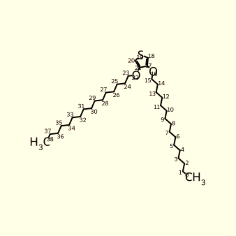 CCCCCCCCCCCCCCCCOc1cscc1OCCCCCCCCCCCCCCCC